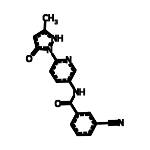 Cc1cc(=O)n(-c2ccc(NC(=O)c3cccc(C#N)c3)cn2)[nH]1